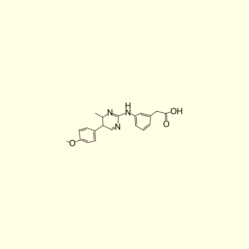 COc1ccc(C2C=NC(Nc3cccc(CC(=O)O)c3)=NC2C)cc1